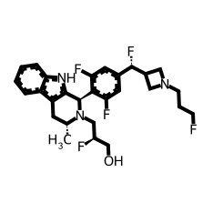 C[C@@H]1Cc2c([nH]c3ccccc23)[C@@H](c2c(F)cc([C@H](F)C3CN(CCCF)C3)cc2F)N1C[C@H](F)CO